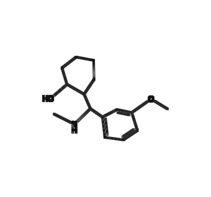 CNC(c1cccc(OC)c1)C1CCCCC1O